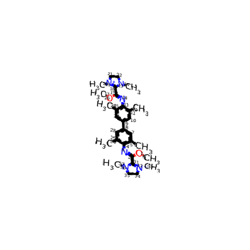 CO/C(=N\c1c(C)cc(-c2cc(C)c(/N=C(\OC)C3=[N+](C)CCN3C)c(C)c2)cc1C)C1=[N+](C)CCN1C